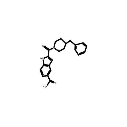 N=C(N)c1ccc2[nH]c(C(=O)N3CCC(Cc4ccccc4)CC3)cc2c1